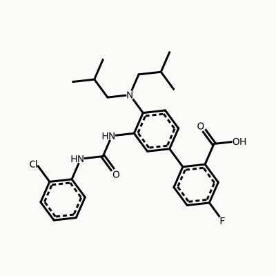 CC(C)CN(CC(C)C)c1ccc(-c2ccc(F)cc2C(=O)O)cc1NC(=O)Nc1ccccc1Cl